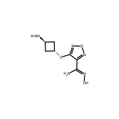 CC(=O)N[C@H]1C[C@H](Oc2nonc2/C(N)=N/O)C1